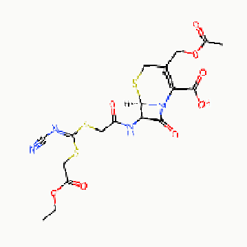 CCOC(=O)CSC(=NC#N)SCC(=O)N[C@@H]1C(=O)N2C(C(=O)O)=C(COC(C)=O)CS[C@H]12